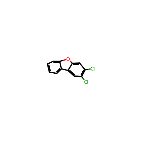 Clc1cc2oc3ccccc3c2cc1Cl